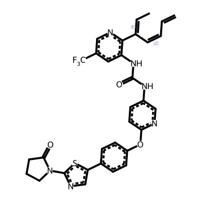 C=C/C=C\C(=C/C)c1ncc(C(F)(F)F)cc1NC(=O)Nc1ccc(Oc2ccc(-c3cnc(N4CCCC4=O)s3)cc2)nc1